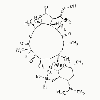 CC[Si](CC)(CC)O[C@H]1[C@H](O[C@@H]2[C@@H](C)C(=O)[C@](C)(F)C(=O)O[C@@H](C)[C@]3(C)OC(=O)[C@@H](/C(N)=N/O)[C@@H]3[C@@H](C)C(=O)[C@H](C)C[C@@]2(C)OC)O[C@H](C)C[C@@H]1N(C)C